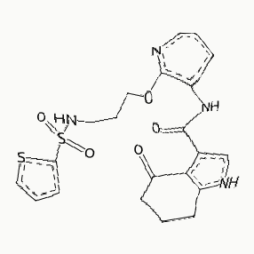 O=C(Nc1cccnc1OCCNS(=O)(=O)c1cccs1)c1c[nH]c2c1C(=O)CCC2